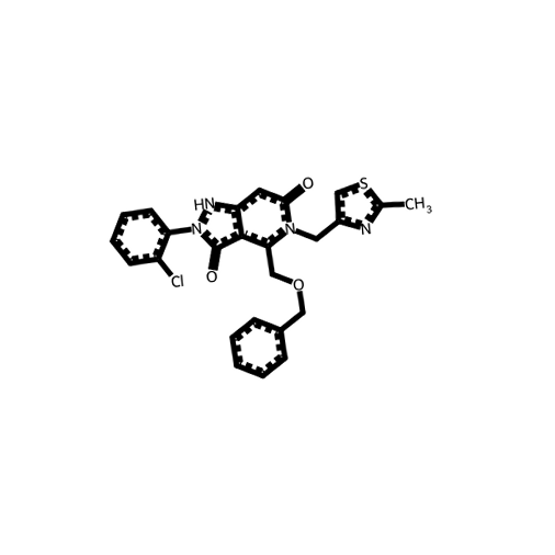 Cc1nc(Cn2c(COCc3ccccc3)c3c(=O)n(-c4ccccc4Cl)[nH]c3cc2=O)cs1